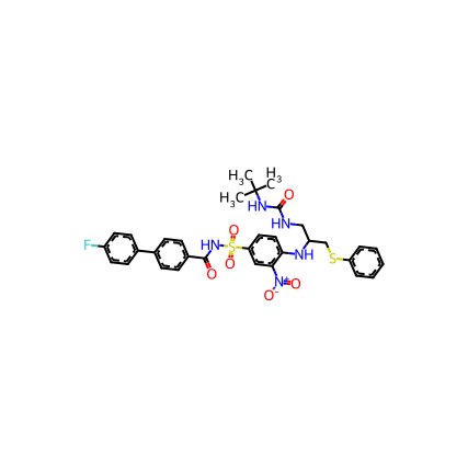 CC(C)(C)NC(=O)NCC(CSc1ccccc1)Nc1ccc(S(=O)(=O)NC(=O)c2ccc(-c3ccc(F)cc3)cc2)cc1[N+](=O)[O-]